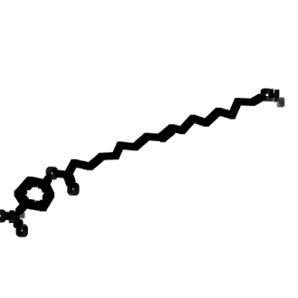 CCCCCCCCC=CCCCCCCCC(=O)Oc1ccc([N+](=O)[O-])cc1